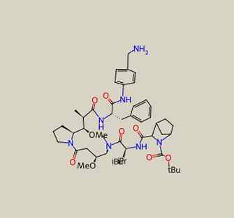 CC[C@H](C)[C@@H]([C@H](CC(=O)N1CCC[C@H]1[C@H](OC)[C@@H](C)C(=O)N[C@@H](Cc1ccccc1)C(=O)Nc1ccc(CN)cc1)OC)N(C)C(=O)[C@@H](NC(=O)C1C2CCC(C2)N1C(=O)OC(C)(C)C)C(C)C